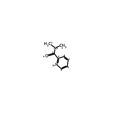 CN(C)C(=O)c1ccc[c]n1